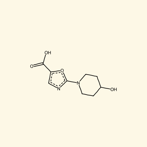 O=C(O)c1cnc(N2CCC(O)CC2)o1